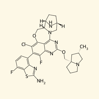 C[C@@H]1CN2CCC[C@@]2(COc2nc3c4c(c(Cl)c(-c5ccc(F)c6sc(N)nc56)c(F)c4n2)OC[C@@H]2[C@@H]4CC[C@H](CN32)N4)C1